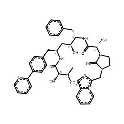 CN(C(=O)O)[C@H](C(=O)N[C@@H](Cc1ccc(-c2ccccn2)cc1)C[C@H](O)[C@H](Cc1ccccc1)NC(=O)[C@@H](N1CCN(Cc2ncc3ccccn23)C1=O)C(C)(C)C)C(C)(C)C